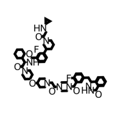 O=C(N[C@@H](C(=O)N1CCC(OC2CCN(CC(=O)N3CCN(C(=O)c4cc(Cc5n[nH]c(=O)c6ccccc56)ccc4F)CC3)CC2)CC1)C1CCCCC1)c1cccc(C2CCCN(C(=O)CNC3CC3)C2)c1F